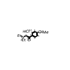 CCN(CC)CC(=O)c1ccc(OC)cc1.Cl